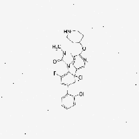 CN1CCN(C2=C(F)C=C(c3ccccc3O)CC2(Cl)c2ccc(OC3CCNCC3)nc2)C1=O